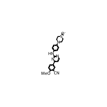 COc1ccc(-c2ccnc(Nc3ccc(N4CC[S+]([O-])CC4)cc3)n2)cc1C#N